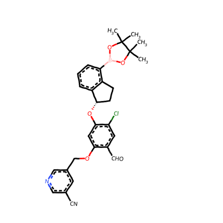 CC1(C)OB(c2cccc3c2CC[C@@H]3Oc2cc(OCc3cncc(C#N)c3)c(C=O)cc2Cl)OC1(C)C